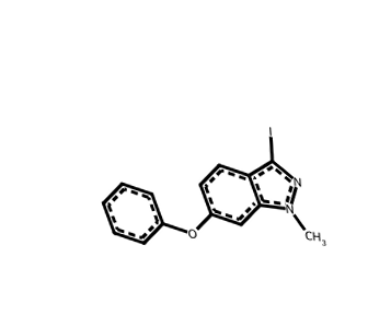 Cn1nc(I)c2ccc(Oc3ccccc3)cc21